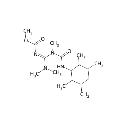 COC(=O)/N=C(/N(C)C)N(C)C(=O)NC1C(C)C(C)CC(C)C1C